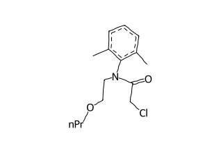 CCCOCCN(C(=O)CCl)c1c(C)cccc1C